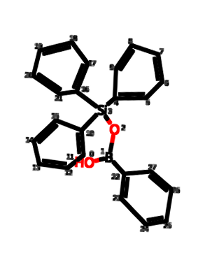 OB(O[Si](c1ccccc1)(c1ccccc1)c1ccccc1)c1ccccc1